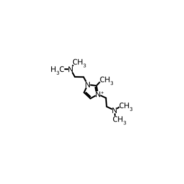 Cc1n(CCN(C)C)cc[n+]1CCN(C)C